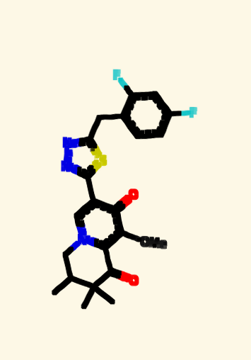 COc1c2n(cc(-c3nnc(Cc4ccc(F)cc4F)s3)c1=O)CC(C)C(C)(C)C2=O